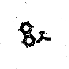 O=[Si](O)O.c1ccncc1.c1ccncc1